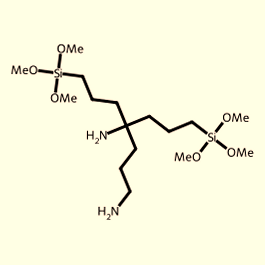 CO[Si](CCCC(N)(CCCN)CCC[Si](OC)(OC)OC)(OC)OC